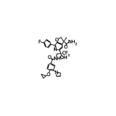 C[C@]1(C(N)=O)COc2c1cc([C@@](O)(CNC(=O)c1ccc(OC3CC3)c(N3CCC3)c1)C(F)(F)F)nc2-c1ccc(F)cc1